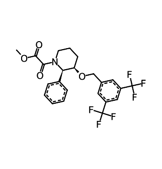 COC(=O)C(=O)N1CCC[C@@H](OCc2cc(C(F)(F)F)cc(C(F)(F)F)c2)[C@H]1c1ccccc1